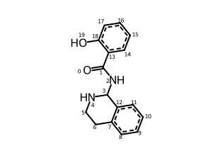 O=C(NC1NCCc2ccccc21)c1ccccc1O